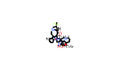 CC[C@]12C=CCN3CC[C@@]4(c5cc([C@@]6(C(=O)OC)C[C@H]7C[C@@H](C(C)(F)F)CN(CCc8c6[nH]c6ccccc86)C7)c(OC)cc5N(C)[C@H]4[C@](C)(O)[C@@H]1OC(C)=O)[C@@H]32